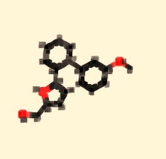 COc1cccc(-c2ccccc2-c2ccc(C=O)o2)c1